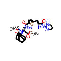 COC(=O)N([C@@H](CNC(=O)c1ccc(CCC(=O)NC2=NCCCN2)s1)C(=O)OC(C)(C)C)C12CC3CC(CC(C3)C1)C2